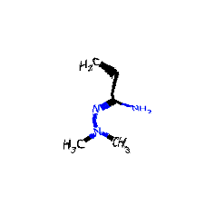 C=CC(N)=NN(C)C